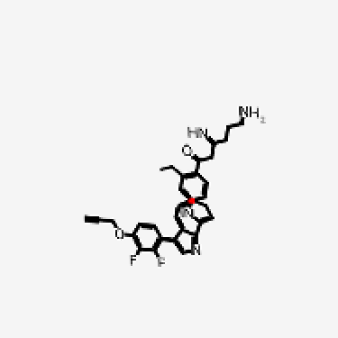 C#CCOc1ccc(C2=CN=C3/C(Nc4ccc(C(=O)CC(=N)CCCN)c(CC)c4)=C/C/C=C\C=C\23)c(F)c1F